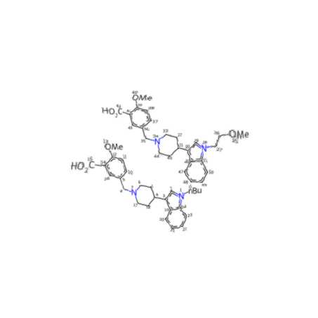 CCCCn1cc(C2CCN(Cc3ccc(OC)c(C(=O)O)c3)CC2)c2ccccc21.COCCn1cc(C2CCN(Cc3ccc(OC)c(C(=O)O)c3)CC2)c2ccccc21